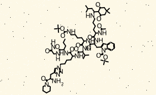 CCCC(NC(=O)C(CCCCn1cc(CC(N)C(=O)N2CCCCC2)nn1)NC(=O)C(NC(=O)C(CCCCNC(=O)OC(C)(C)C)NC(=O)C(Cc1cc2ccccc2n1C(=O)OC(C)(C)C)NC(=O)C(CCCCNC(CC(C)C)C1C(=O)CC(C)(C)CC1=O)NC(C)=O)C(C)C)C(=O)NCC(=O)NC